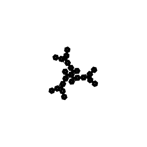 C1=CC2C(C=C1c1ccccc1)c1cc(-c3ccccc3)ccc1N2c1ccc(-c2ccc(N(c3ccccc3)c3cc(N(c4ccccc4)c4ccc(-c5ccc(-n6c7ccc(-c8ccccc8)cc7c7cc(-c8ccccc8)ccc76)cc5)cc4)cc(N(c4ccccc4)c4ccc(-c5ccc(-n6c7ccc(-c8ccccc8)cc7c7cc(-c8ccccc8)ccc76)cc5)cc4)c3)cc2)cc1